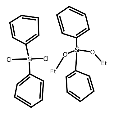 CCO[Si](OCC)(c1ccccc1)c1ccccc1.Cl[Si](Cl)(c1ccccc1)c1ccccc1